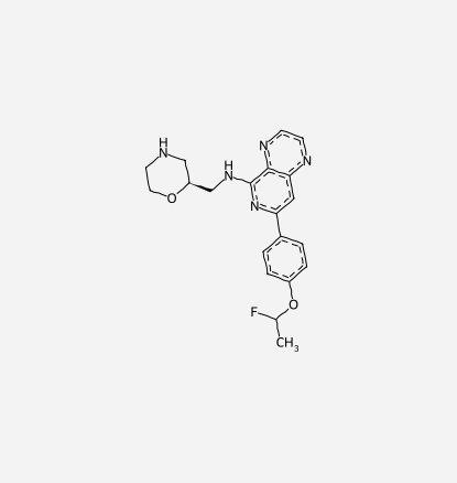 CC(F)Oc1ccc(-c2cc3nccnc3c(NC[C@@H]3CNCCO3)n2)cc1